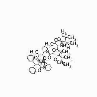 CC[C@H](C)[C@@H]([C@@H](CC(=O)N1CCC[C@H]1[C@H](OC)[C@@H](C)C(=O)N[C@H](C(=O)N1CCCCO1)C(c1ccccc1)c1ccccc1)OC)N(C)C(=O)[C@@H](NC(=O)[C@@H](NC)C(C)C)C(C)C